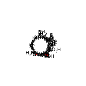 C[C@H]1NC(=O)[C@H](CCCCN)NC(=O)CCSCc2cccc(c2)CSC[C@@H](C(N)=O)NC(=O)[C@]2(C)CCCN2C(=O)[C@H](Cc2ccc(O)cc2)NC(=O)[C@H](Cc2cnc[nH]2)NC(=O)[C@H](CC(=O)O)NC(=O)[C@H](Cc2c[nH]c3ccc(F)cc23)NC(=O)[C@H](Cc2c[nH]c3ccc(F)cc23)NC1=O